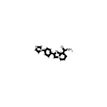 NC(=O)c1cccn2cc(-c3ccc(-n4ccnc4)cc3)nc12